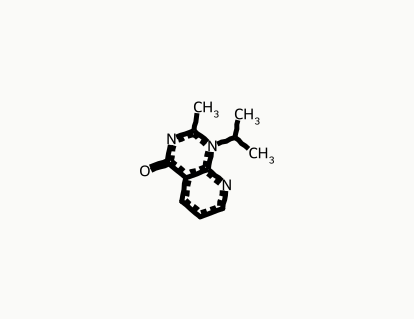 Cc1nc(=O)c2cccnc2n1C(C)C